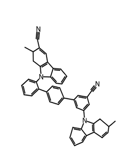 CC1C=Cc2c(n(-c3cc(C#N)cc(-c4ccc(-c5ccccc5-n5c6c(c7ccccc75)C=C(C#N)C(C)C6)cc4)c3)c3ccccc23)C1